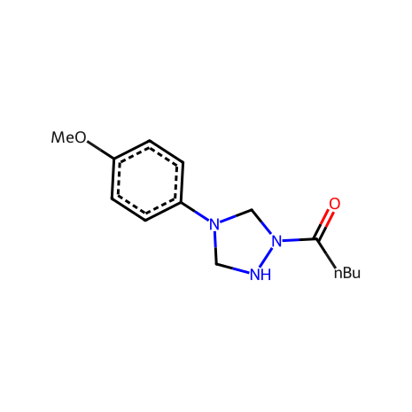 CCCCC(=O)N1CN(c2ccc(OC)cc2)CN1